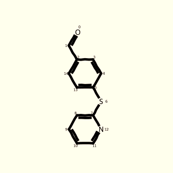 O=Cc1ccc(Sc2ccccn2)cc1